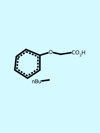 CCCCC.O=C(O)COc1ccccc1